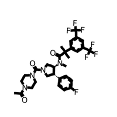 CC(=O)N1CCN(C(=O)N2C[C@@H](N(C)C(=O)C(C)(C)c3cc(C(F)(F)F)cc(C(F)(F)F)c3)[C@H](c3ccc(F)cc3)C2)CC1